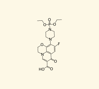 CCOP(=O)(OCC)N1CCN(c2c(F)cc3c(=O)c(C(=O)O)cn4c3c2OCC4)CC1